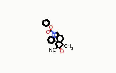 C[C@@H]1C(=O)C(C#N)=C[C@]2(c3ccccc3)c3nn(C(=O)Oc4ccccc4)cc3CCC12